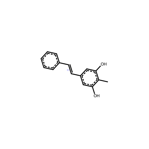 Cc1c(O)cc(/C=C/c2ccccc2)cc1O